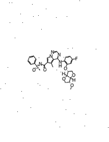 CO[C@@H]1CO[C@H]2[C@@H]1OC[C@H]2Oc1cc(F)ccc1Nc1ncnn2cc(C(=O)N=[S@](C)(=O)c3ccccc3)c(C)c12